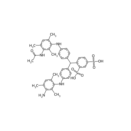 CC(=O)Nc1c(C)cc(C)c(Nc2ccc(C(c3ccc(Nc4c(C)cc(C)c(N)c4C)cc3)c3ccc(S(=O)(=O)O)cc3S(=O)(=O)O)cc2)c1C